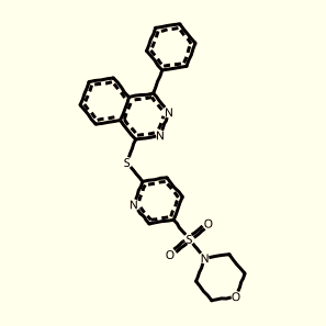 O=S(=O)(c1ccc(Sc2nnc(-c3ccccc3)c3ccccc23)nc1)N1CCOCC1